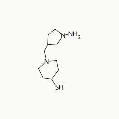 NN1CCC(CN2CCC(S)CC2)C1